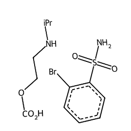 CC(C)NCCOC(=O)O.NS(=O)(=O)c1ccccc1Br